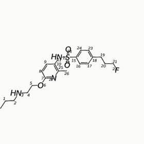 CCCNCCOc1ccc(NS(=O)(=O)c2ccc(CCCF)cc2)c(C)n1